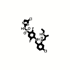 CCNC(C)CNc1cc(Cl)ccc1CNc1cc(F)c(S(=O)(=O)Nc2ncc(Cl)s2)cc1F